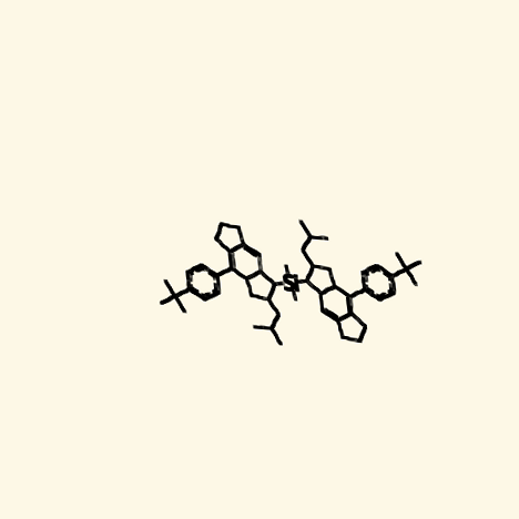 CC(C)CC1CC2C(c3ccc(C(C)(C)C)cc3)=C3CCCC3=CC2C1[Si](C)(C)C1C(CC(C)C)CC2C(c3ccc(C(C)(C)C)cc3)=C3CCCC3=CC21